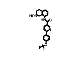 O=C(Nc1cccc2c1C[C@H](O)CC2)c1ccc(-c2ccc(OC(F)(F)F)cc2)nc1